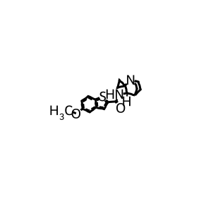 COc1ccc2sc(C(=O)N[C@H]3C4CCN(CC4)C34CC4)cc2c1